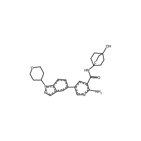 Nc1ncc(-c2ccc3c(cnn3C3CCOCC3)c2)cc1C(=O)NC12CCC(O)(CC1)CC2